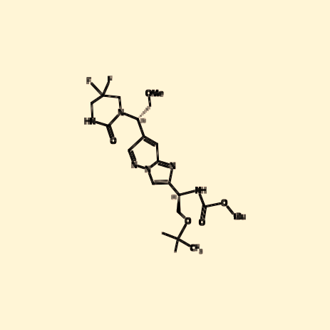 COC[C@H](c1cnn2cc([C@H](COC(C)(C)C(F)(F)F)NC(=O)OC(C)(C)C)nc2c1)N1CC(F)(F)CNC1=O